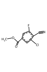 COC(=O)c1cc(F)c(C#N)c(Cl)c1